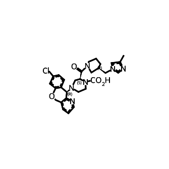 Cc1cn(C[C@@H]2CCCN(C(=O)[C@@H]3CN([C@@H]4c5ccc(Cl)cc5OCc5cccnc54)CCN3C(=O)O)C2)cn1